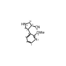 COc1ncccc1C1CNC[C@H]1C#N